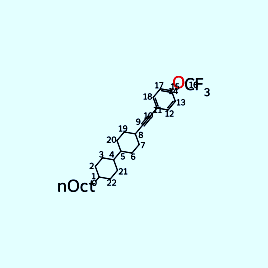 CCCCCCCCC1CCC(C2CCC(C#Cc3ccc(OC(F)(F)F)cc3)CC2)CC1